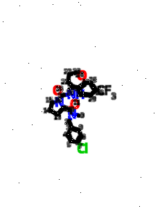 CN(Cc1ccc(Cl)cc1)C(=O)[C@H]1CCCN1C(=O)NC1CCCOc2cc(C(F)(F)F)ccc21